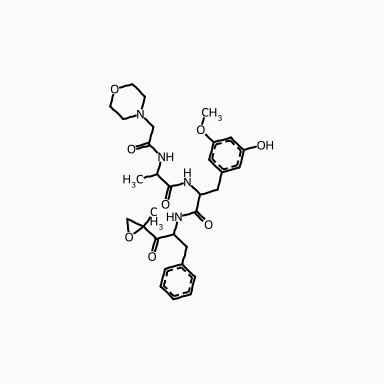 COc1cc(O)cc(CC(NC(=O)C(C)NC(=O)CN2CCOCC2)C(=O)NC(Cc2ccccc2)C(=O)C2(C)CO2)c1